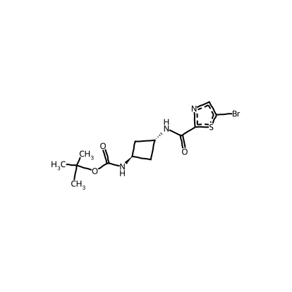 CC(C)(C)OC(=O)N[C@H]1C[C@H](NC(=O)c2ncc(Br)s2)C1